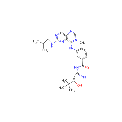 Cc1ccc(C(=O)NC(=N)/C=C(\O)C(C)(C)C)cc1Nc1ncnc2cnc(NCC(C)C)nc12